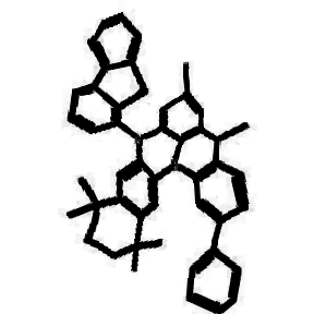 Cc1cc2c3c(c1)N(c1cccc4c1Cc1ccccc1-4)c1cc4c(cc1B3c1cc(-c3ccccc3)ccc1C2C)C(C)(C)CCC4(C)C